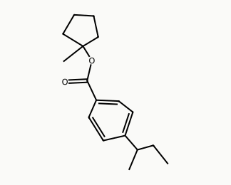 CCC(C)c1ccc(C(=O)OC2(C)CCCC2)cc1